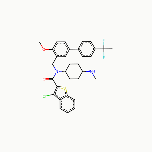 CN[C@H]1CC[C@H](N(Cc2cc(-c3ccc(C(C)(F)F)cc3)ccc2OC)C(=O)c2sc3ccccc3c2Cl)CC1